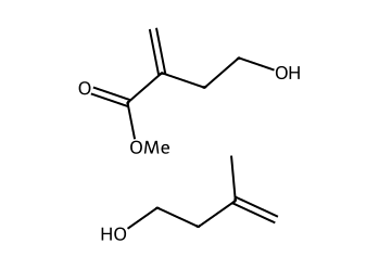 C=C(C)CCO.C=C(CCO)C(=O)OC